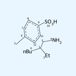 CCCCC(CC)CN.Cc1ccc(S(=O)(=O)O)cc1